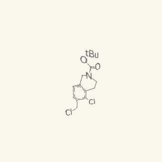 CC(C)(C)OC(=O)N1CCc2c(ccc(CCl)c2Cl)C1